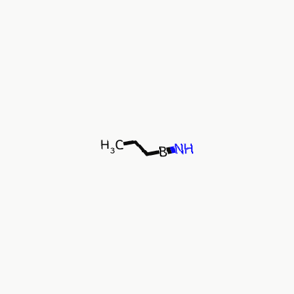 CCCB=N